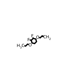 C=CCOC1CCC(OCCC)C(F)C1F